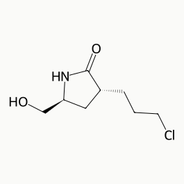 O=C1N[C@H](CO)C[C@H]1CCCCl